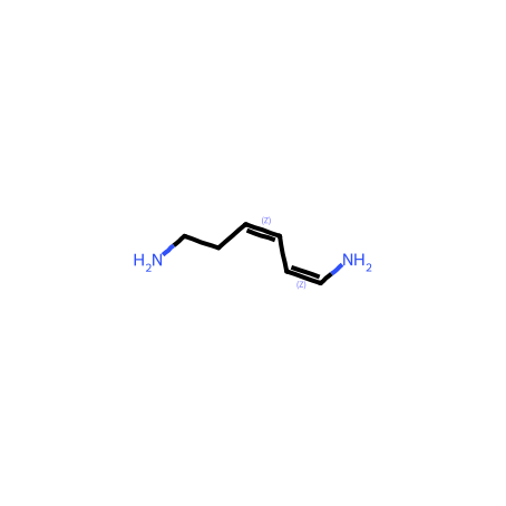 N/C=C\C=C/CCN